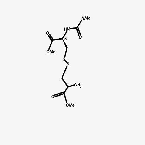 CNC(=O)N[C@@H](CSSCC(N)C(=O)OC)C(=O)OC